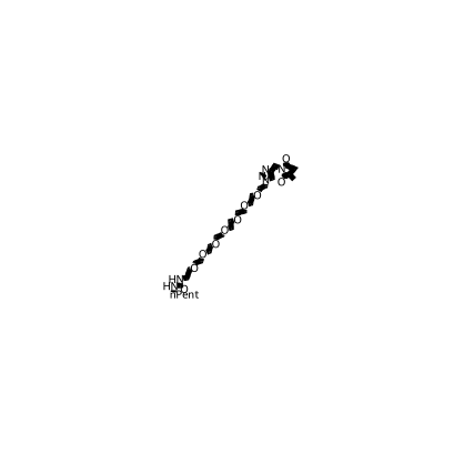 CCCCCNC(=O)NCCOCCOCCOCCOCCOCCOCCOCCn1cc(CN2C(=O)CC(C)C2=O)nn1